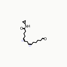 O=CCCCC/C=C\C/C=C\CCCC(=O)NC1CC1